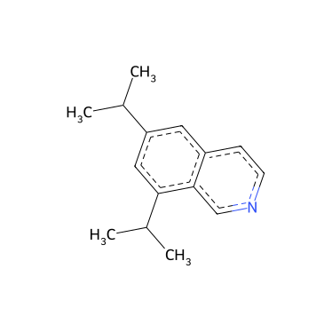 CC(C)c1cc(C(C)C)c2cnccc2c1